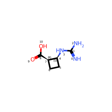 N=C(N)N[C@H]1CC[C@H]1C(=O)O